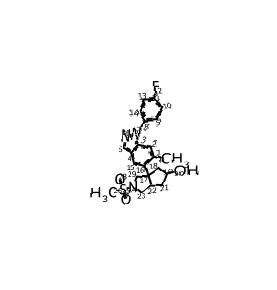 Cc1cc2c(cnn2-c2ccc(F)cc2)cc1C12CC(O)CC1CN(S(C)(=O)=O)C2